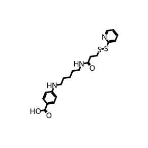 O=C(CCSSc1ccccn1)NCCCCCNc1ccc(C(=O)O)cc1